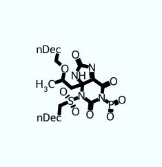 CCCCCCCCCCCOC(C)CC12NC(=O)N=C1C(=O)N(P(=O)=O)C(=O)N2S(=O)(=O)CCCCCCCCCCC